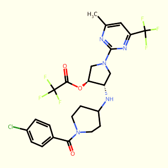 Cc1cc(C(F)(F)F)nc(N2C[C@H](NC3CCN(C(=O)c4ccc(Cl)cc4)CC3)[C@@H](OC(=O)C(F)(F)F)C2)n1